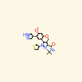 COc1cc2c(cc1-c1cn[nH]c1)-c1c(c(C(=O)N(C)C(C)(C)C)nn1-c1ccsc1)CO2